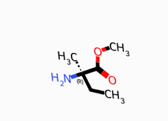 CC[C@@](C)(N)C(=O)OC